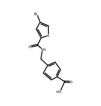 O=C(O)c1ccc(CNC(=O)c2cc(Br)cs2)cc1